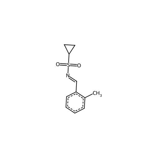 Cc1ccccc1/C=N/S(=O)(=O)C1CC1